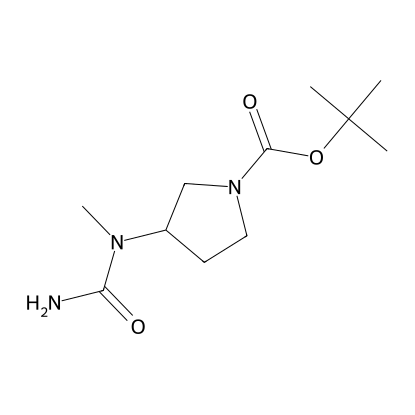 CN(C(N)=O)C1CCN(C(=O)OC(C)(C)C)C1